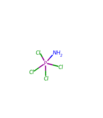 NP(Cl)(Cl)(Cl)Cl